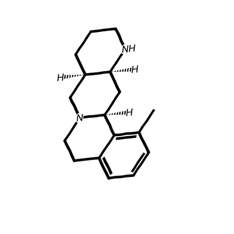 Cc1cccc2c1[C@@H]1C[C@@H]3NCCC[C@@H]3CN1CC2